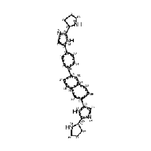 c1cc(-c2cnc(C3CCCN3)[nH]2)ccc1-c1ccc2cc(-c3cnc(C4CCCN4)[nH]3)ccc2c1